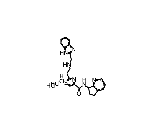 Cl.Cl.Cl.O=C(NC1CCc2cccnc21)c1csc(CCNCc2nc3ccccc3[nH]2)n1